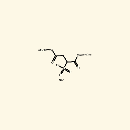 CCCCCCCCOC(=O)CC(C(=O)OCCCCCCCC)S(=O)(=O)[O-].[Na+]